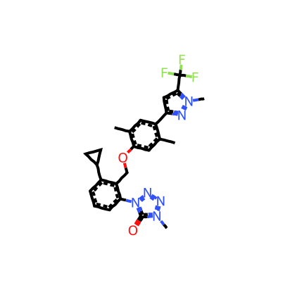 Cc1cc(-c2cc(C(F)(F)F)n(C)n2)c(C)cc1OCc1c(C2CC2)cccc1-n1nnn(C)c1=O